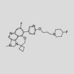 CN1CN2c3c1cnc1cc(F)c(-c4ccc(OCCCN5CCC(F)CC5)nc4)c(c31)OCC21CCC1